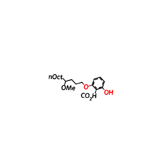 CCCCCCCCC(CCCOc1cccc(O)c1C(=O)O)OC